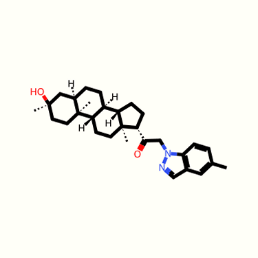 Cc1ccc2c(cnn2CC(=O)[C@H]2CC[C@H]3[C@@H]4CC[C@@H]5C[C@](C)(O)CC[C@]5(C)[C@H]4CC[C@]23C)c1